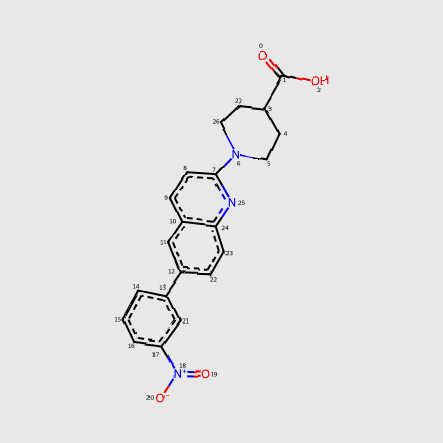 O=C(O)C1CCN(c2ccc3cc(-c4cccc([N+](=O)[O-])c4)ccc3n2)CC1